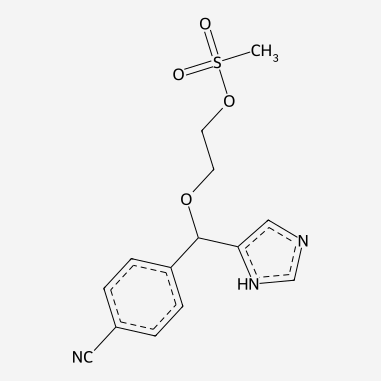 CS(=O)(=O)OCCOC(c1ccc(C#N)cc1)c1cnc[nH]1